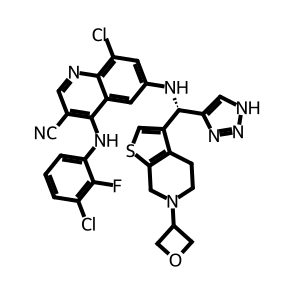 N#Cc1cnc2c(Cl)cc(N[C@H](c3c[nH]nn3)c3csc4c3CCN(C3COC3)C4)cc2c1Nc1cccc(Cl)c1F